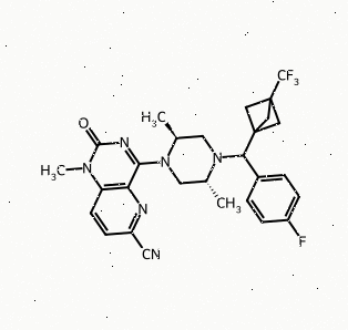 C[C@@H]1CN(c2nc(=O)n(C)c3ccc(C#N)nc23)[C@@H](C)CN1C(c1ccc(F)cc1)C12CC(C(F)(F)F)(C1)C2